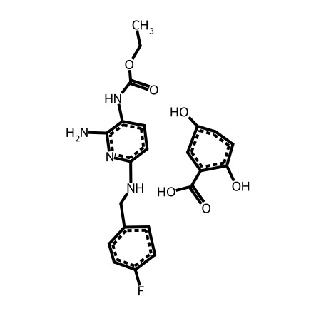 CCOC(=O)Nc1ccc(NCc2ccc(F)cc2)nc1N.O=C(O)c1cc(O)ccc1O